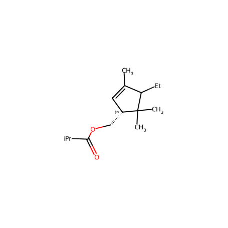 CCC1C(C)=C[C@@H](COC(=O)C(C)C)C1(C)C